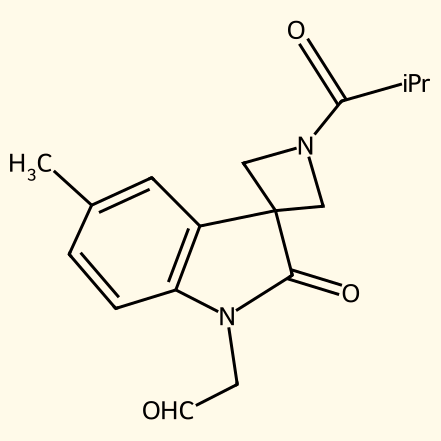 Cc1ccc2c(c1)C1(CN(C(=O)C(C)C)C1)C(=O)N2CC=O